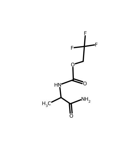 CC(NC(=O)OCC(F)(F)F)C(N)=O